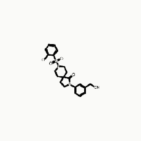 N#CCc1cccc(N2CCC3(CCN(S(=O)(=O)c4ccccc4Cl)CC3)C2=O)c1